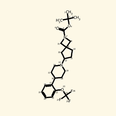 CC(C)(C)OC(=O)N1CC2(CCC(N3CCC(c4ccccc4OC(F)(F)F)CC3)C2)C1